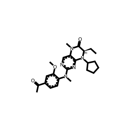 CC[C@@H]1C(=O)N(C)c2cnc(N(C)c3ccc(C(C)=O)cc3OC)nc2N1C1CCCC1